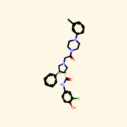 Cc1cccc(N2CCN(C(=O)CN3C[C@H](C(=O)Nc4ccc(O)c(Cl)c4)[C@@H](c4ccccc4)C3)CC2)c1